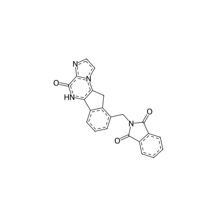 O=C1c2ccccc2C(=O)N1Cc1cccc2c1Cc1c-2[nH]c(=O)c2nccn12